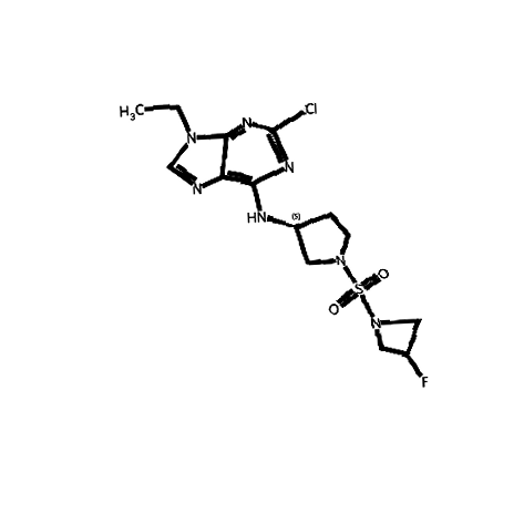 CCn1cnc2c(N[C@H]3CCN(S(=O)(=O)N4CC(F)C4)C3)nc(Cl)nc21